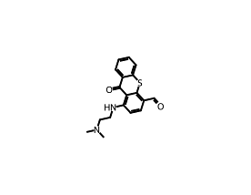 CN(C)CCNc1ccc(C=O)c2sc3ccccc3c(=O)c12